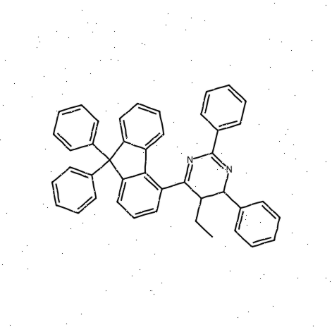 CCC1C(c2cccc3c2-c2ccccc2C3(c2ccccc2)c2ccccc2)=NC(c2ccccc2)=NC1c1ccccc1